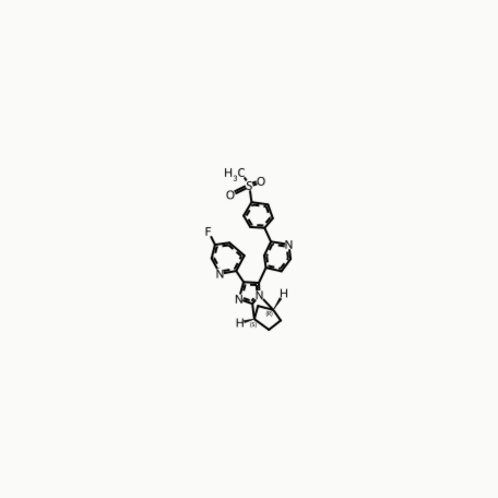 CS(=O)(=O)c1ccc(-c2cc(-c3c(-c4ccc(F)cn4)nc4n3[C@@H]3CC[C@H]4C3)ccn2)cc1